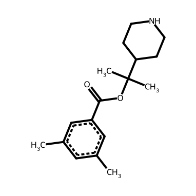 Cc1cc(C)cc(C(=O)OC(C)(C)C2CCNCC2)c1